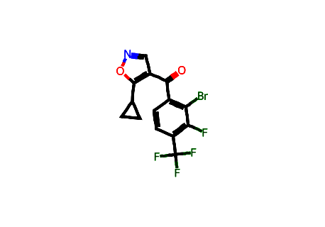 O=C(c1cnoc1C1CC1)c1ccc(C(F)(F)F)c(F)c1Br